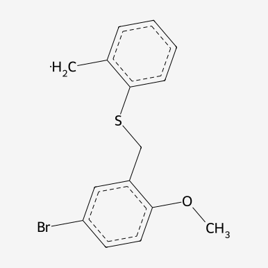 [CH2]c1ccccc1SCc1cc(Br)ccc1OC